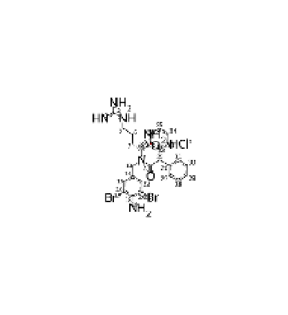 Cl.N=C(N)NCCC[C@H](C(N)=O)N(Cc1cc(Br)c(N)c(Br)c1)C(=O)C(c1ccccc1)c1ccccc1